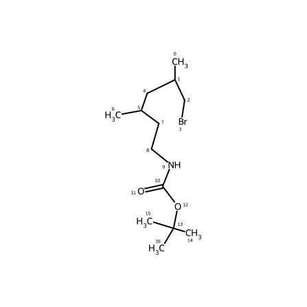 CC(CBr)CC(C)CCNC(=O)OC(C)(C)C